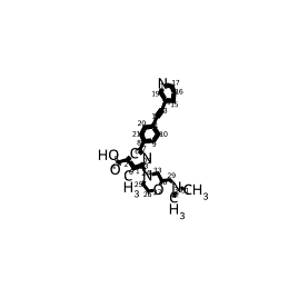 Cc1c(C(=O)O)cc(-c2ccc(C#Cc3cccnc3)cc2)nc1N1CCOC(CN(C)C)C1